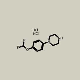 Cl.Cl.FC(F)Oc1ccc(N2CCNCC2)cc1